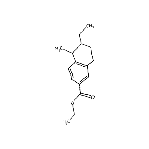 CCOC(=O)c1ccc2c(c1)CCC(CC)C2C